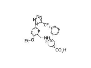 CCOc1ccc(-n2nnnc2C(F)(F)F)cc1CN[C@H]1CCN(C(=O)O)C[C@H]1c1ccccc1